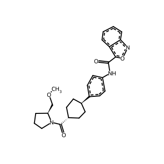 COC[C@@H]1CCCN1C(=O)[C@H]1CC[C@H](c2ccc(NC(=O)c3onc4ccccc34)cc2)CC1